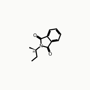 CC[C@@H](C)N1C(=O)c2ccccc2C1=O